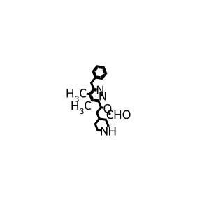 Cc1c(Cc2ccccc2)nnc(C(CC2CCNCC2)OC=O)c1C